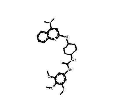 COc1cc(NC(=O)NC2CCC(Nc3cc(N(C)C)c4ccccc4n3)CC2)cc(OC)c1OC